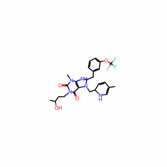 CC1=CNC(CN2c3c(n(C)c(=O)n(CCC(C)O)c3=O)NC2Cc2cccc(OC(F)(F)F)c2)C=C1